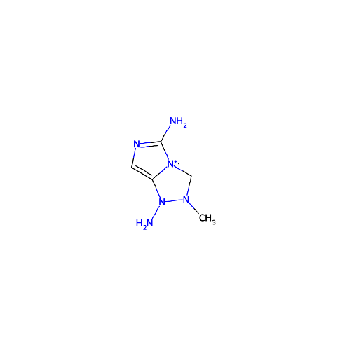 CN1C[N+]2C(=CN=C2N)N1N